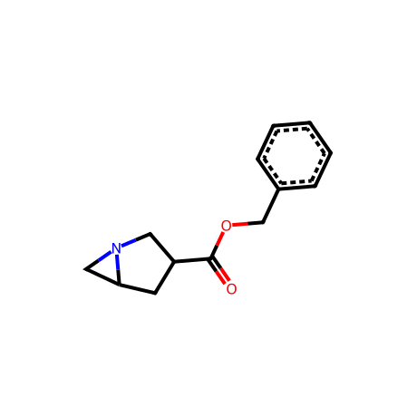 O=C(OCc1ccccc1)C1CC2CN2C1